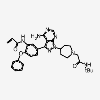 C=CC(=O)Nc1cc(-c2nn(C3CCN(CC(=O)NC(C)(C)C)CC3)c3ncnc(N)c23)ccc1Oc1ccccc1